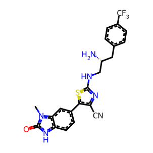 Cn1c(=O)[nH]c2ccc(-c3sc(NC[C@H](N)Cc4ccc(C(F)(F)F)cc4)nc3C#N)cc21